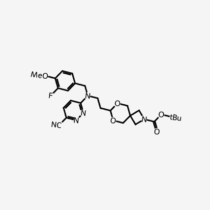 COc1ccc(CN(CCC2OCC3(CO2)CN(C(=O)OC(C)(C)C)C3)c2ccc(C#N)nn2)cc1F